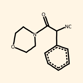 [C-]#[N+]C(C(=O)N1CCOCC1)c1ccccc1